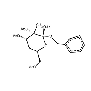 CC(=O)OC[C@H]1C[C@H](OC(C)=O)[C@](C)(OC(C)=O)[C@@](OCc2ccccc2)(OC(C)=O)O1